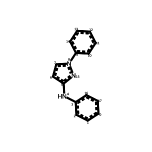 c1ccc(Nc2ccn(-c3ccccc3)n2)cc1